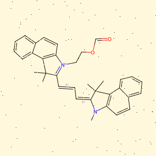 CN1/C(=C/C=C/C2=[N+](CCOC=O)c3ccc4ccccc4c3C2(C)C)C(C)(C)c2c1ccc1ccccc21